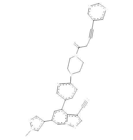 Cn1cc(-c2cc(-c3ccc(N4CCN(C(=O)CC#Cc5cncnc5)CC4)nc3)c3c(C#N)cnn3c2)cn1